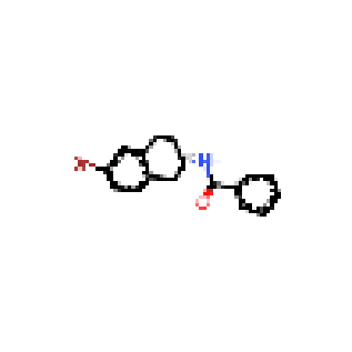 O=C(N[C@H]1CCc2cc(Br)ccc2C1)c1ccccc1